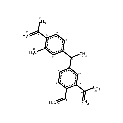 C=Cc1ccc(C(C)c2ccc(C(=C)C)c(C)c2)cc1C(=C)C